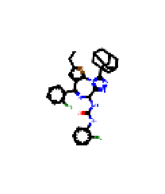 CCc1cc2c(s1)-n1c(nnc1C13CC4CC(CC(C4)C1)C3)C(NC(=O)Nc1ccccc1Cl)N=C2c1ccccc1Cl